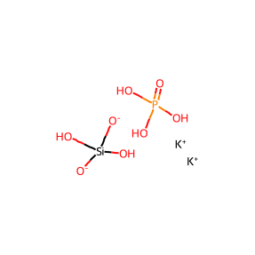 O=P(O)(O)O.[K+].[K+].[O-][Si]([O-])(O)O